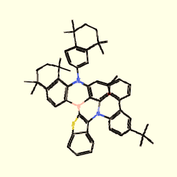 Cc1cc2c3c(c1)N(c1ccc(C(C)(C)C)cc1-c1ccccc1)c1c(sc4ccccc14)B3c1ccc3c(c1N2c1ccc2c(c1)C(C)(C)CCC2(C)C)C(C)(C)CCC3(C)C